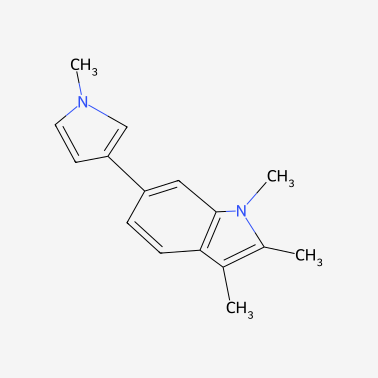 Cc1c(C)n(C)c2cc(-c3ccn(C)c3)ccc12